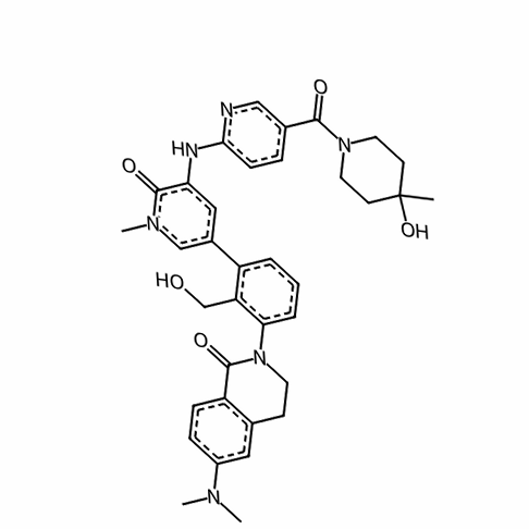 CN(C)c1ccc2c(c1)CCN(c1cccc(-c3cc(Nc4ccc(C(=O)N5CCC(C)(O)CC5)cn4)c(=O)n(C)c3)c1CO)C2=O